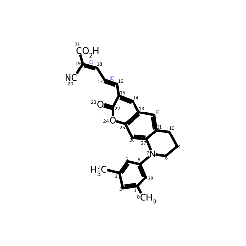 Cc1cc(C)cc(N2CCCc3cc4cc(/C=C/C=C(\C#N)C(=O)O)c(=O)oc4cc32)c1